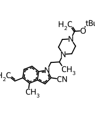 C=Cc1ccc2c(cc(C#N)n2CC(C)N2CCN(C(=C)OC(C)(C)C)CC2)c1C